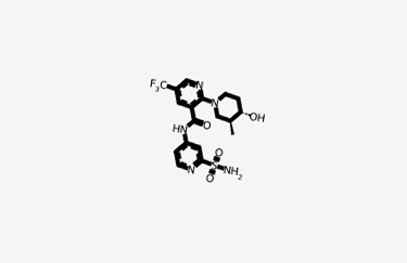 C[C@H]1CN(c2ncc(C(F)(F)F)cc2C(=O)Nc2ccnc(S(N)(=O)=O)c2)CC[C@@H]1O